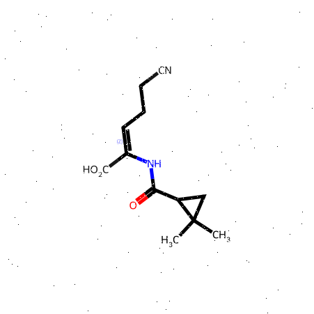 CC1(C)CC1C(=O)N/C(=C\CCC#N)C(=O)O